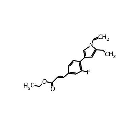 C=Cn1cc(-c2ccc(/C=C/C(=O)OCC)cc2F)cc1CC